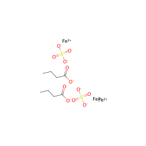 CCCC(=O)[O-].CCCC(=O)[O-].O=S(=O)([O-])[O-].O=S(=O)([O-])[O-].[Fe+2].[Fe+2].[Fe+2]